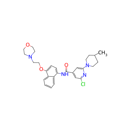 CC1CCN(c2cc(C(=O)Nc3ccc(OCCN4CCOCC4)c4ccccc34)cc(Cl)n2)CC1